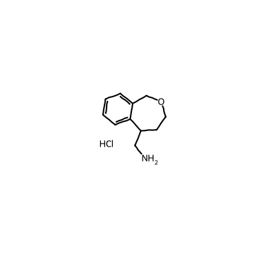 Cl.NCC1CCOCc2ccccc21